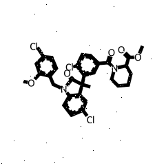 COC(=O)C1CCCCN1C(=O)c1ccc(Cl)c(C2(C)C(=O)N(Cc3ccc(Cl)cc3OC)c3ccc(Cl)cc32)c1